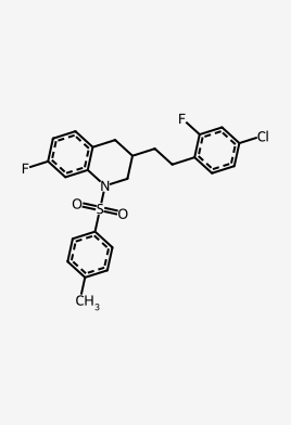 Cc1ccc(S(=O)(=O)N2CC(CCc3ccc(Cl)cc3F)Cc3ccc(F)cc32)cc1